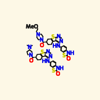 CN(C)C1CCN(C(=O)C2CCc3c(sc4ncnc(Nc5ccc6[nH]c(=O)sc6c5)c34)C2)C1.COCCN1CCN(C(=O)C2CCc3c(sc4ncnc(Nc5ccc6[nH]c(=O)sc6c5)c34)C2)CC1